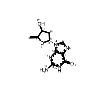 C=C1O[C@@H](n2cnc3c(=O)[nH]c(N)nc32)CC1O